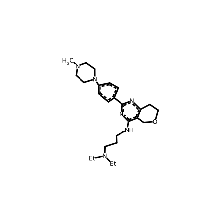 CCN(CC)CCCNc1nc(-c2ccc(N3CCN(C)CC3)cc2)nc2c1COCC2